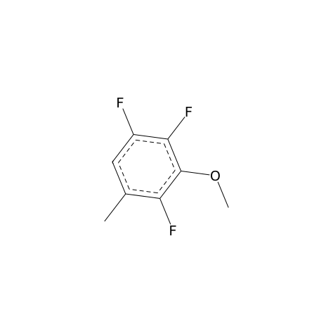 COc1c(F)c(C)cc(F)c1F